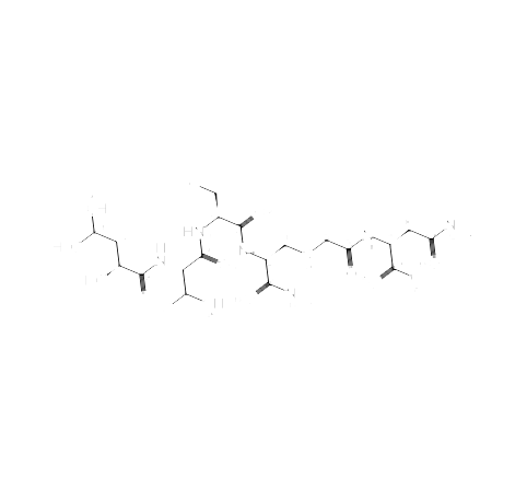 CC[C@H](NC(=O)[C@@H](NC(=O)[C@@H](C)CC(C)C)C(C)C)C(=O)N[C@@H](CSCC(=O)N[C@@H](CC(N)=O)C(C)=O)C(N)=O